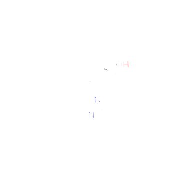 CC12C=CC=CC1c1cncn1[C@H]2[C@H]1CC[C@@]1(C)O